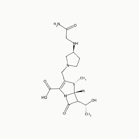 C[C@@H](O)C1C(=O)N2C(C(=O)O)=C(CN3CC[C@H](NCC(N)=O)C3)[C@H](C)[C@H]12